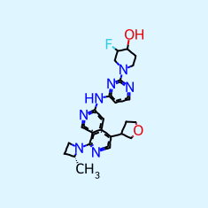 C[C@@H]1CCN1c1ncc(C2CCOC2)c2cc(Nc3ccnc(N4CCC(O)C(F)C4)n3)ncc12